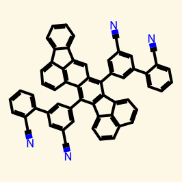 N#Cc1cc(-c2ccccc2C#N)cc(-c2c3cc4c5ccccc5c5cccc(c3c(-c3cc(C#N)cc(-c6ccccc6C#N)c3)c3c6cccc7cccc(c23)c76)c54)c1